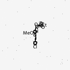 CCS(=O)(=O)N[C@H](C(=O)NCc1ccc(OCC#Cc2ccc(Cl)cc2)c(OC)c1)C(C)C